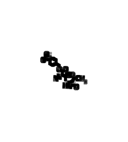 C[C@@H](O)[C@@H]1C(=O)N[C@@H]1CC(=O)C(=[N+]=[N-])C(=O)OCc1ccc([N+](=O)[O-])cc1